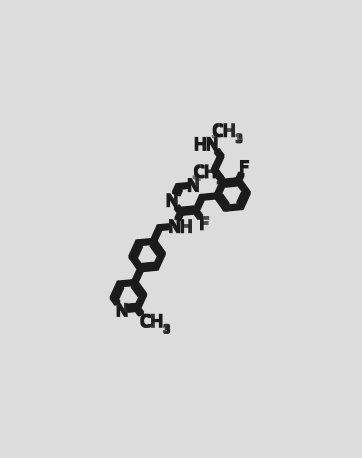 C=N/C=N\C(NCc1ccc(-c2ccnc(C)c2)cc1)=C(\F)Cc1cccc(F)c1CCNC